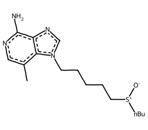 CCCC[S+]([O-])CCCCCn1cnc2c(N)ncc(C)c21